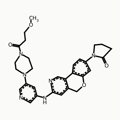 COCCC(=O)N1CCN(c2cncc(Nc3cc4c(cn3)-c3ccc(N5CCCC5=O)cc3OC4)c2)CC1